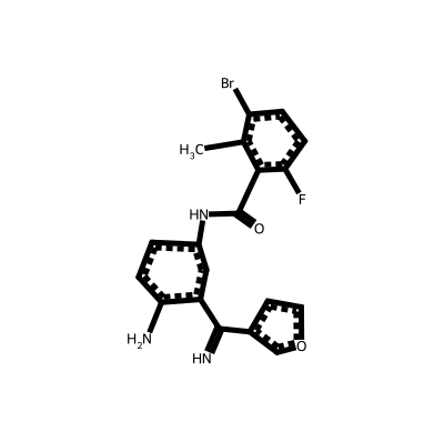 Cc1c(Br)ccc(F)c1C(=O)Nc1ccc(N)c(C(=N)c2ccoc2)c1